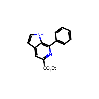 CCOC(=O)c1cc2cc[nH]c2c(-c2ccccc2)n1